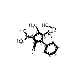 CCO.Cc1c(N(C)C)c(=O)n(-c2ccccc2)n1C